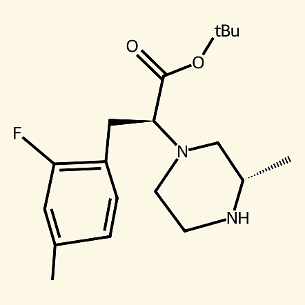 Cc1ccc(C[C@@H](C(=O)OC(C)(C)C)N2CCN[C@@H](C)C2)c(F)c1